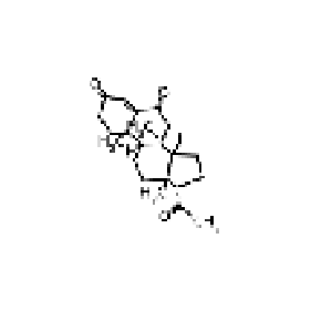 CC(=O)[C@H]1CC[C@@H]2[C@]1(C)CC[C@H]1[C@@]2(C)CC(=O)C2=CC(=O)CC[C@@]21C